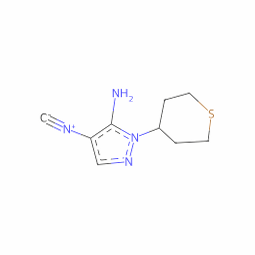 [C-]#[N+]c1cnn(C2CCSCC2)c1N